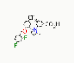 Cc1ccc(-c2cc(C(F)(F)F)ccc2OCc2ccc(F)cc2F)n1-c1cccc(C(=O)O)c1